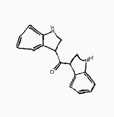 O=C(C1CNc2ccccc21)C1CNc2ccccc21